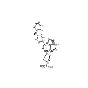 CC(O)[C@@H]1CC[C@@H](Nc2ncnc3[nH]cc(C(=O)c4ccc(Oc5cccnc5)cc4)c23)CO1